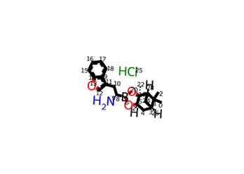 CC1(C)[C@@H]2C[C@H]3OB([C@H](N)Cc4coc5ccccc45)O[C@@]3(C)[C@H]1C2.Cl